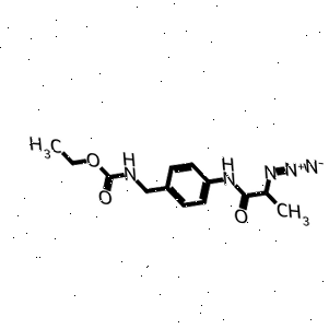 CCOC(=O)NCc1ccc(NC(=O)C(C)N=[N+]=[N-])cc1